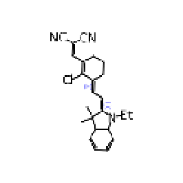 CCN1/C(=C/C=C2\CCCC(C=C(C#N)C#N)=C2Cl)C(C)(C)C2C=CC=CC21